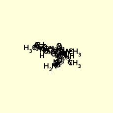 CCCCNC(=O)N(CCC)N1CC(=O)N2[C@@H](Cc3ccc(OC(=O)NCCN(C)C)cc3)C(=O)N(Cc3cccc4sc(N)nc34)C[C@@H]21